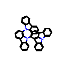 c1ccc2c(c1)c1ccccc1n2-c1cccc2c3ccccc3n(-c3ccc4c5ccccc5n5c6ccccc6c3c45)c12